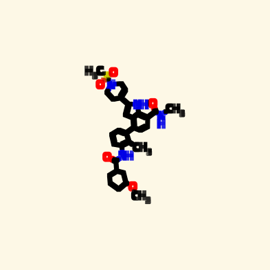 CNC(=O)c1ccc(-c2cccc(NC(=O)C3CCCC(OC)C3)c2C)c2cc(C3=CCN(S(C)(=O)=O)CC3)[nH]c12